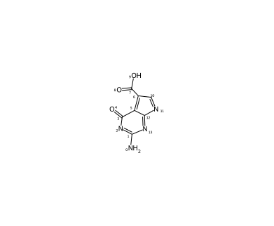 NC1=NC(=O)C2=C(C(=O)O)C=NC2=N1